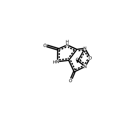 O=c1[nH]c2c(=O)n3on(c3=O)c2[nH]1